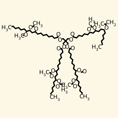 C=C(C)OC(CCCCCC)CCC(CCCCCCCC(=O)OCC(COC(=O)CCCCCCCC(CCC(CCCCCC)OC(C)=O)OC=O)(COC(=O)CCCCCCCC(CCC(CCCCCC)OC)OC(C)=O)COC(=O)CCCCCCCC(CCC(CCCCCC)OC(C)=O)OC(C)=O)OC(C)=O